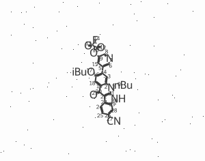 CCCCn1c2cc(-c3cncc(OS(=O)(=O)F)c3)c(OCC(C)C)cc2c(=O)c2c3ccc(C#N)cc3[nH]c21